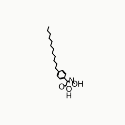 CCCCCCCCCCCCc1ccc(C(=NO)C(=O)O)cc1